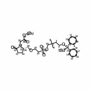 CC(C)(CCO[Si](c1ccccc1)(c1ccccc1)C(C)(C)C)COS(=O)(=O)CCOC[C@@H]1CCC(=O)N1CC(=O)OC(C)(C)C